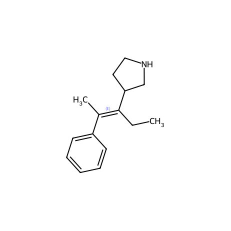 CC/C(=C(/C)c1ccccc1)C1CCNC1